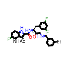 CCc1cccc(CNC[C@H](O)[C@H](Cc2cc(F)cc(F)c2)NC(=O)c2[nH]c3ccc(F)cc3c2NC(C)=O)c1